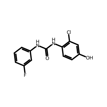 O=C(Nc1cccc(F)c1)Nc1ccc(O)cc1Cl